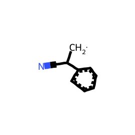 [CH2]C(C#N)c1ccccc1